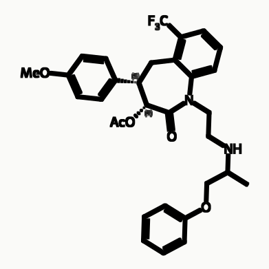 COc1ccc([C@@H]2Cc3c(cccc3C(F)(F)F)N(CCNC(C)COc3ccccc3)C(=O)[C@@H]2OC(C)=O)cc1